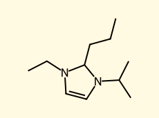 CCCC1N(CC)C=CN1C(C)C